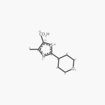 Cc1nc(C2CCOCC2)sc1C(=O)O